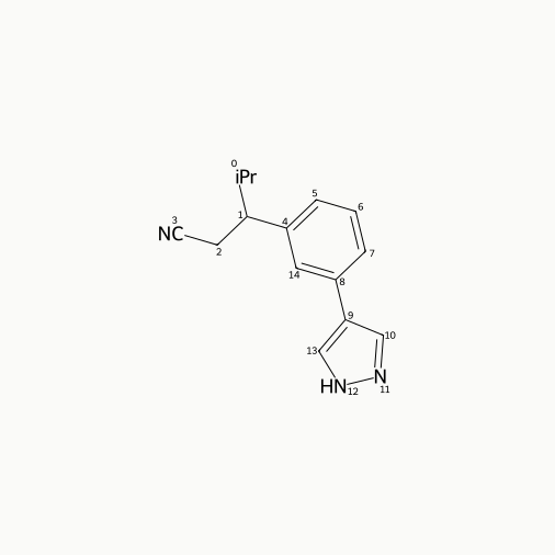 CC(C)C(CC#N)c1cccc(-c2cn[nH]c2)c1